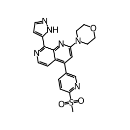 CS(=O)(=O)c1ccc(-c2cc(N3CCOCC3)nc3c(-c4ccn[nH]4)nccc23)cn1